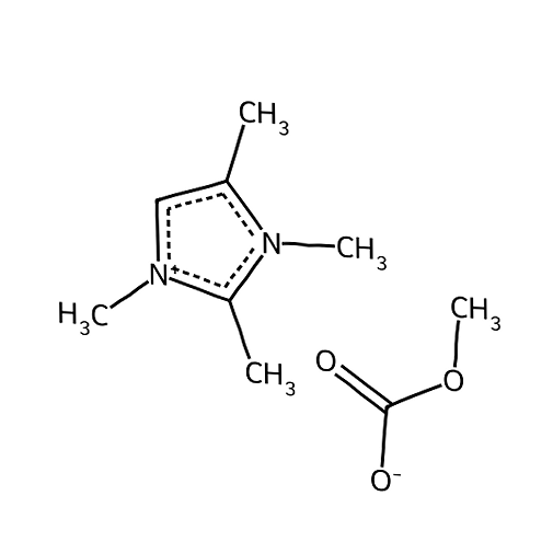 COC(=O)[O-].Cc1c[n+](C)c(C)n1C